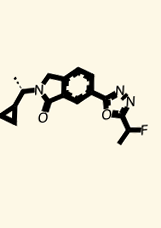 CC(F)c1nnc(-c2ccc3c(c2)C(=O)N([C@@H](C)C2CC2)C3)o1